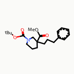 COC(=O)C1(CCCc2ccccc2)CCCN(C(=O)OC(C)(C)C)C1